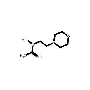 CC(=N)N(C)CCN1CCOCC1